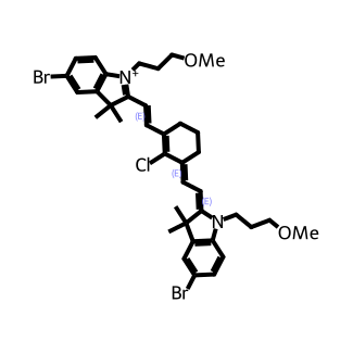 COCCCN1/C(=C/C=C2\CCCC(/C=C/C3=[N+](CCCOC)c4ccc(Br)cc4C3(C)C)=C2Cl)C(C)(C)c2cc(Br)ccc21